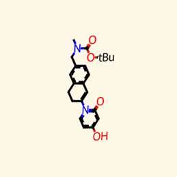 CN(Cc1ccc2c(c1)CCC(n1ccc(O)cc1=O)=C2)C(=O)OC(C)(C)C